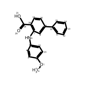 COc1ccc(Nc2cc(-c3ccccc3)ccc2C(=O)O)cc1